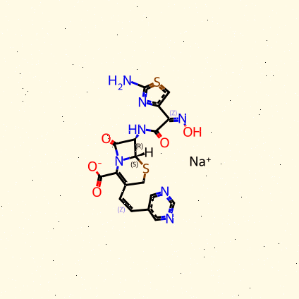 Nc1nc(/C(=N/O)C(=O)N[C@@H]2C(=O)N3C(C(=O)[O-])=C(/C=C\c4cncnc4)CS[C@@H]23)cs1.[Na+]